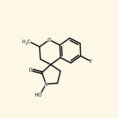 CC1CC2(CCN(O)C2=O)c2cc(F)ccc2O1